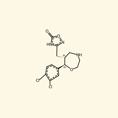 O=c1[nH]c(C[C@@H]2CNCCO[C@H]2c2ccc(Cl)c(Cl)c2)no1